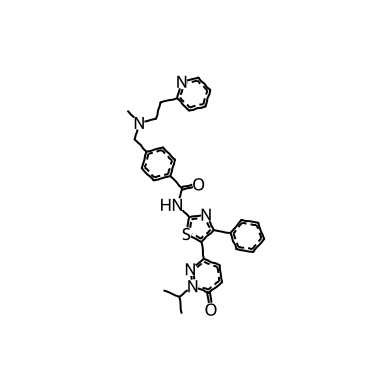 CC(C)n1nc(-c2sc(NC(=O)c3ccc(CN(C)CCc4ccccn4)cc3)nc2-c2ccccc2)ccc1=O